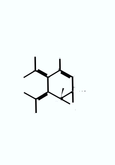 CC(C)=C1C(Br)=C[C@H]2O[C@@H]2C1=C(C)C